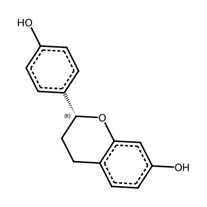 Oc1ccc([C@H]2CCc3ccc(O)cc3O2)cc1